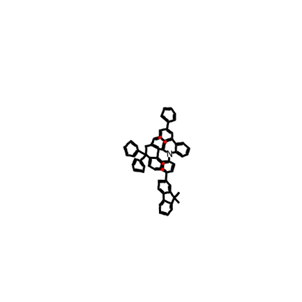 CC1(C)c2ccccc2-c2ccc(-c3ccc(N(c4ccccc4-c4cccc(-c5ccccc5)c4)c4cccc5c4-c4ccccc4C(c4ccccc4)(c4ccccc4)C5)cc3)cc21